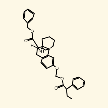 CCC(C(=O)OCOc1ccc2c(c1)[C@@]13CCCC[C@H]1[C@@H](C2)N(C(=O)OCc1ccccc1)CC3)c1ccccc1